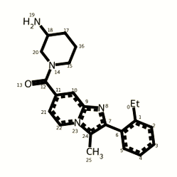 CCc1ccccc1-c1nc2cc(C(=O)N3CCCC(N)C3)ccn2c1C